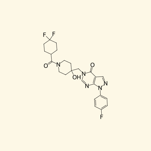 O=C(C1CCC(F)(F)CC1)N1CCC(O)(Cn2cnc3c(cnn3-c3ccc(F)cc3)c2=O)CC1